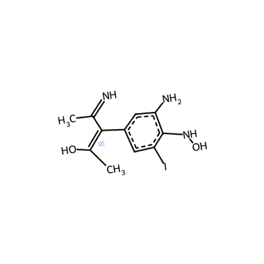 CC(=N)/C(=C(/C)O)c1cc(N)c(NO)c(I)c1